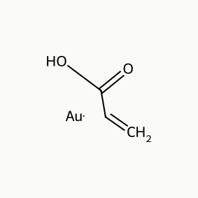 C=CC(=O)O.[Au]